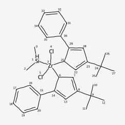 C[SiH](C)[Zr]([Cl])([Cl])([CH]1C=C(C(C)(C)C)C=C1c1ccccc1)[CH]1C=C(C(C)(C)C)C=C1c1ccccc1